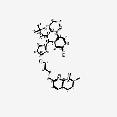 CC1CCc2ccc(CCCCO[C@@H]3CCN(C(C(=O)OC(C)(C)C)c4cc(F)ccc4C4CCCCO4)C3)nc2N1